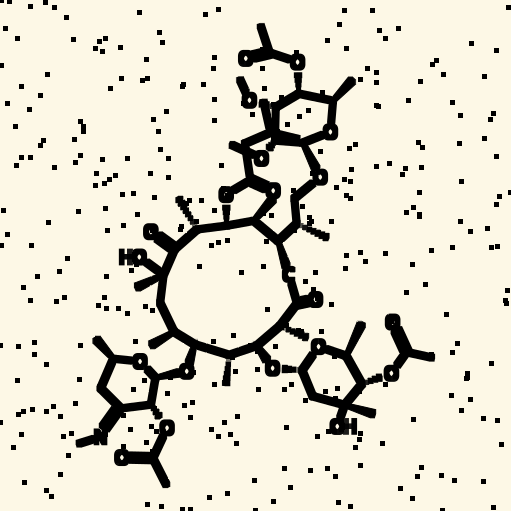 C/N=C1\C[C@@H](C)O[C@@H](O[C@@H]2[C@@H](C)[C@H](O[C@H]3C[C@@](C)(O)[C@@H](OC(C)=O)[C@H](C)O3)[C@@H](C)C(=O)C[C@H]([C@@H](C)CO[C@@H]3O[C@H](C)[C@@H](OC(C)=O)[C@@H](OC)[C@H]3OC)[C@H](C)[C@@H](OC(=O)CC(C)C)[C@@H](C)C(=O)[C@@](C)(O)C[C@@H]2C)[C@@H]1OC(C)=O